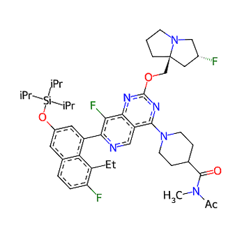 CCc1c(F)ccc2cc(O[Si](C(C)C)(C(C)C)C(C)C)cc(-c3ncc4c(N5CCC(C(=O)N(C)C(C)=O)CC5)nc(OC[C@@]56CCCN5C[C@H](F)C6)nc4c3F)c12